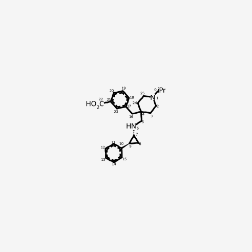 CC(C)N1CCC(CN[C@@H]2C[C@H]2c2ccccc2)(Cc2cccc(C(=O)O)c2)CC1